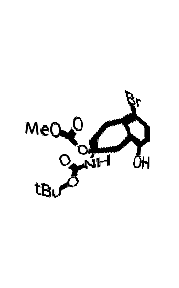 COC(=O)O[C@@]1(NC(=O)OC(C)(C)C)CCc2c(Br)ccc(O)c2C1